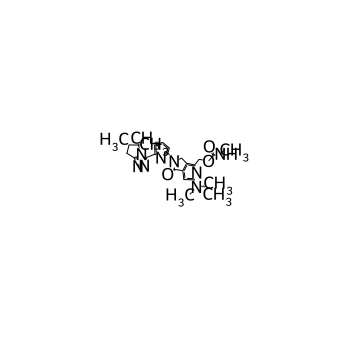 CNC(=O)OCc1nc(N(C)C(C)C)cc2c1CN(c1cccc(-c3nnc4n3C(C)(C)C(C)C4)n1)C2=O